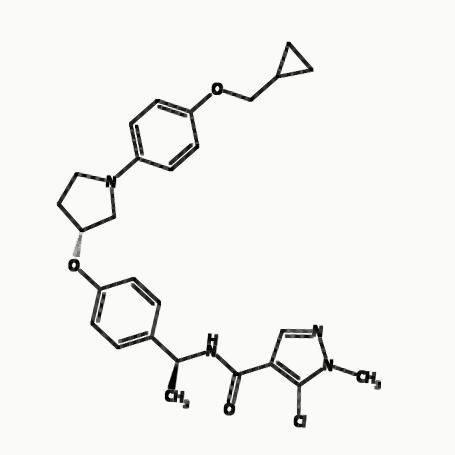 C[C@H](NC(=O)c1cnn(C)c1Cl)c1ccc(O[C@@H]2CCN(c3ccc(OCC4CC4)cc3)C2)cc1